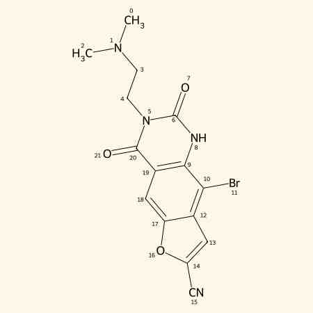 CN(C)CCn1c(=O)[nH]c2c(Br)c3cc(C#N)oc3cc2c1=O